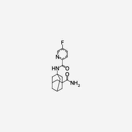 NC(=O)C12CC3CC(CC(NC(=O)c4ccc(F)cn4)(C3)C1)C2